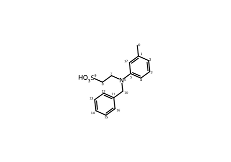 Cc1cccc(N(CCS(=O)(=O)O)Cc2ccccc2)c1